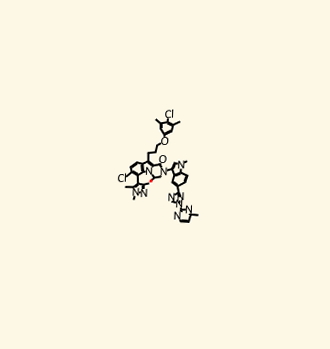 Cc1ccnc(-n2cnc(-c3ccc4c(c3)c(N3CC(C)n5c(c(CCCOc6cc(C)c(Cl)c(C)c6)c6ccc(Cl)c(-c7c(C)nn(C)c7C)c65)C3=O)cn4C)n2)n1